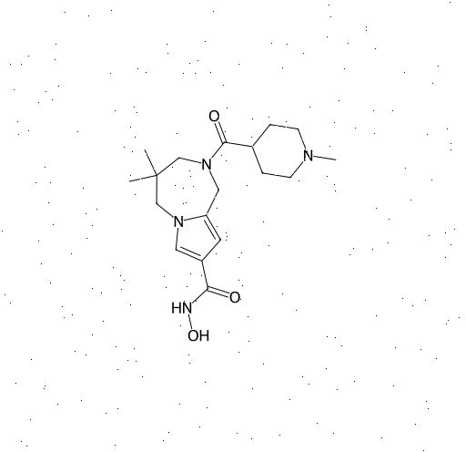 CN1CCC(C(=O)N2Cc3cc(C(=O)NO)cn3CC(C)(C)C2)CC1